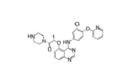 C[C@@H](Oc1cccc2ncnc(Nc3ccc(Oc4ccccn4)c(Cl)c3)c12)C(=O)N1CCNCC1